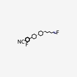 N#Cc1ccc(C2CCC([C@H]3CC[C@H](CCCC/C=C/F)CC3)CC2)cc1F